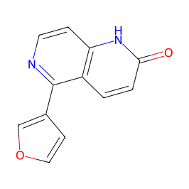 O=c1ccc2c(-c3ccoc3)nccc2[nH]1